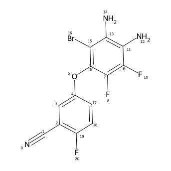 N#Cc1cc(Oc2c(F)c(F)c(N)c(N)c2Br)ccc1F